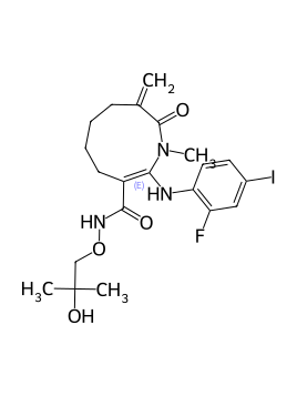 C=C1CCCC/C(C(=O)NOCC(C)(C)O)=C(/Nc2ccc(I)cc2F)N(C)C1=O